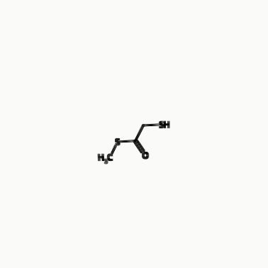 CSC(=O)CS